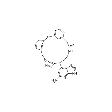 C[C@@H]1Cc2cccc(c2)Oc2cccc(c2)Cn2cc(cn2)C(c2cc(N)nc3[nH]nnc23)CCN1